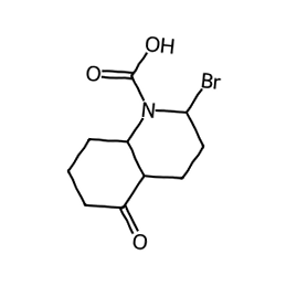 O=C1CCCC2C1CCC(Br)N2C(=O)O